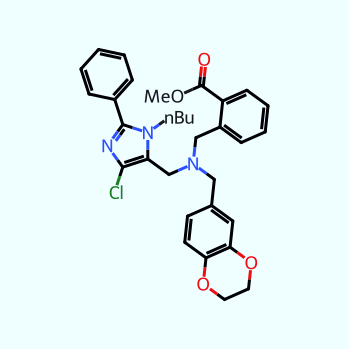 CCCCn1c(-c2ccccc2)nc(Cl)c1CN(Cc1ccc2c(c1)OCCO2)Cc1ccccc1C(=O)OC